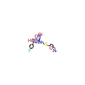 CN(C)Cc1ccc(CSCCN/C(=C/[N+](=O)[O-])NCC(O)c2ccc(F)cc2)o1